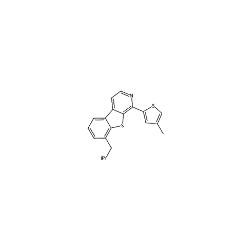 Cc1csc(-c2nccc3c2sc2c(CC(C)C)cccc23)c1